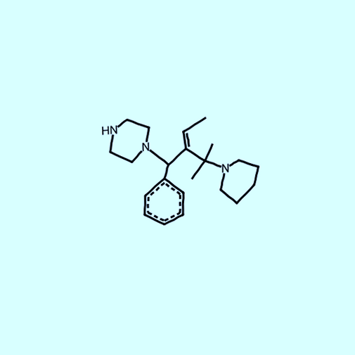 C/C=C(/C(c1ccccc1)N1CCNCC1)C(C)(C)N1CCCCC1